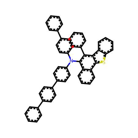 c1ccc(-c2ccc(-c3ccc(N(c4ccc(-c5ccccc5)cc4)c4c(-c5ccccc5)c5c6ccccc6sc5c5ccccc45)cc3)cc2)cc1